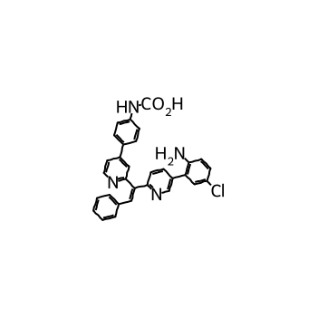 Nc1ccc(Cl)cc1-c1ccc(/C(=C/c2ccccc2)c2cc(-c3ccc(NC(=O)O)cc3)ccn2)nc1